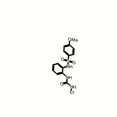 CCNC(=O)Nc1ccccc1NS(=O)(=O)c1ccc(OC)cc1